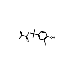 C=C(C)C(=O)OC(C)(C)c1ccc(O)c(I)c1